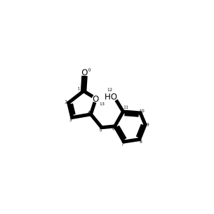 O=C1C=CC(Cc2ccccc2O)O1